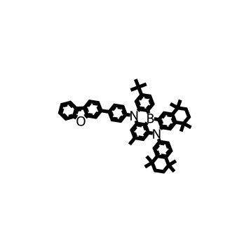 Cc1cc2c3c(c1)N(c1ccc4c(c1)C(C)(C)CCC4(C)C)c1cc4c(cc1B3c1ccc(C(C)(C)C)cc1N2c1ccc(-c2ccc3c(c2)oc2ccccc23)cc1)C(C)(C)CCC4(C)C